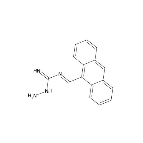 N=C(N=Cc1c2ccccc2cc2ccccc12)NN